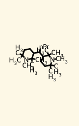 C[CH]CC(C1CCC(C)(C)N(C)C1(C)C)C1CCC(C)(C)N(C)C1(C)C